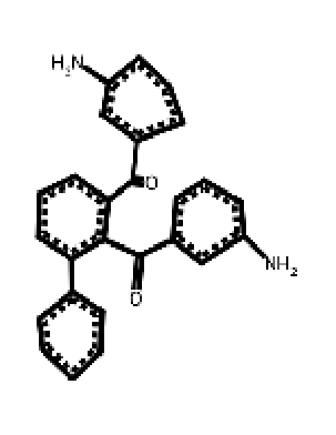 Nc1cccc(C(=O)c2cccc(-c3ccccc3)c2C(=O)c2cccc(N)c2)c1